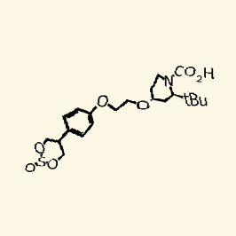 CC(C)(C)[C@H]1C[C@H](OCCOc2ccc(C3COS(=O)OC3)cc2)CCN1C(=O)O